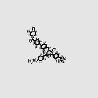 Cc1cc(C(=O)N2CCNC(=O)C2)ncc1-c1ccc(C[C@H](NC(=O)C2CCC(CN)CC2)C(=O)Nc2ccc(-c3nnn[nH]3)cc2)cc1